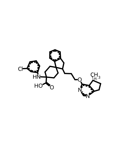 C[C@@H]1CCc2ncnc(OCCCC3Cc4ccccc4C34CCC(Nc3cccc(Cl)c3)(C(=O)O)CC4)c21